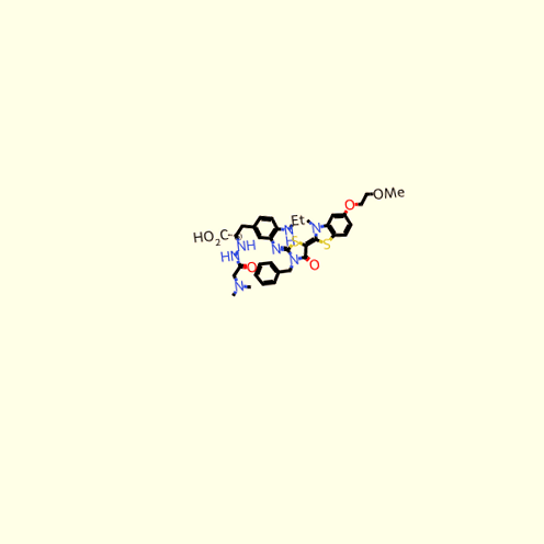 CCNc1ccc(C[C@H](NNC(=O)CN(C)C)C(=O)O)cc1N=C1SC(=C2Sc3ccc(OCCOC)cc3N2C)C(=O)N1Cc1ccccc1